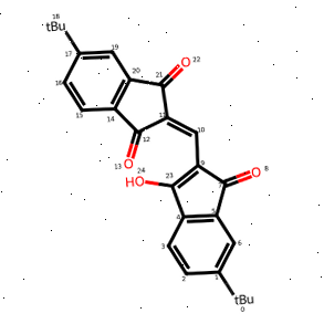 CC(C)(C)c1ccc2c(c1)C(=O)C(/C=C1\C(=O)c3ccc(C(C)(C)C)cc3C1=O)=C2O